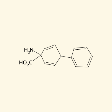 NC1(C(=O)O)C=CC(c2ccccc2)C=C1